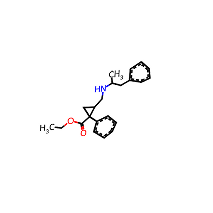 CCOC(=O)C1(c2ccccc2)CC1CNC(C)Cc1ccccc1